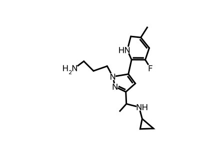 CC1=CC(F)=C(c2cc(C(C)NC3CC3)nn2CCCN)NC1